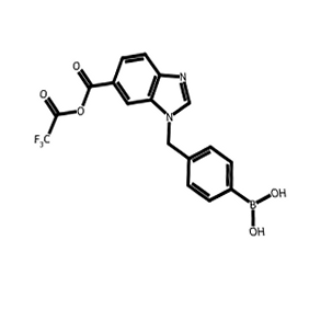 O=C(OC(=O)C(F)(F)F)c1ccc2ncn(Cc3ccc(B(O)O)cc3)c2c1